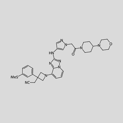 CSc1cccc(C2(CC#N)CN(c3cccn4nc(Nc5cnn(CC(=O)N6CCC(N7CCOCC7)CC6)c5)nc34)C2)c1